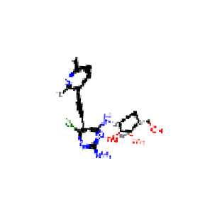 CCc1nc(C)ccc1C#Cc1c(Cl)nc(N)nc1N[C@@H]1C[C@H](CO)[C@@H](O)[C@H]1O